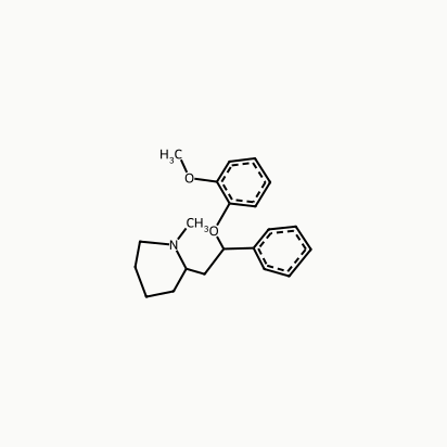 COc1ccccc1OC(CC1CCCCN1C)c1ccccc1